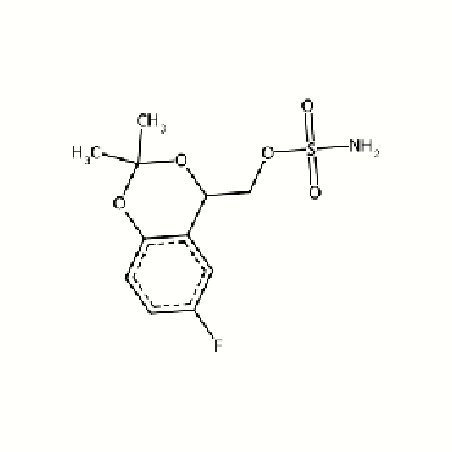 CC1(C)Oc2ccc(F)cc2C(COS(N)(=O)=O)O1